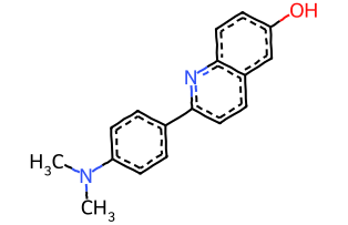 CN(C)c1ccc(-c2ccc3cc(O)ccc3n2)cc1